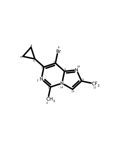 Cc1nc(C2CC2)c(Br)c2nc(C(F)(F)F)cn12